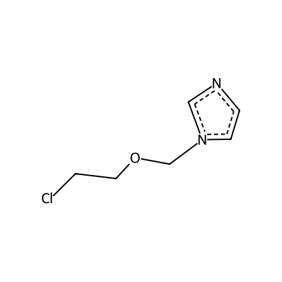 ClCCOCn1ccnc1